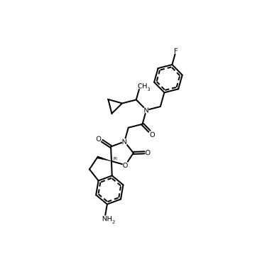 CC(C1CC1)N(Cc1ccc(F)cc1)C(=O)CN1C(=O)O[C@@]2(CCc3cc(N)ccc32)C1=O